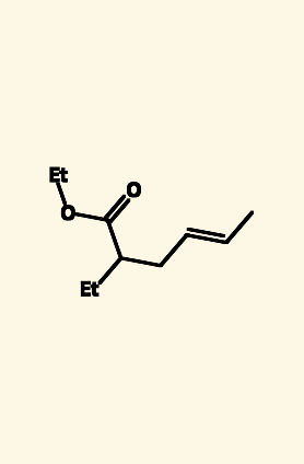 C/C=C/CC(CC)C(=O)OCC